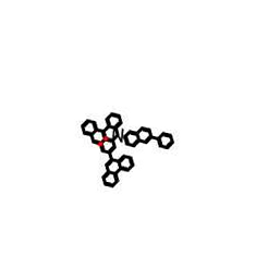 c1ccc(-c2ccc3cc(N(c4cccc(-c5cc6ccccc6c6ccccc56)c4)c4ccccc4-c4cccc5ccccc45)ccc3c2)cc1